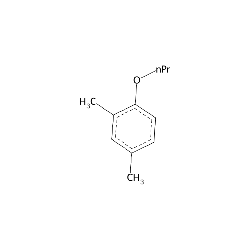 CCCOc1ccc(C)cc1C